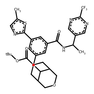 Cc1cnc(-c2cc(OC3C4COCC3CN(C(=O)OC(C)(C)C)C4)cc(C(=O)NC(C)c3cnc(C(F)(F)F)nc3)c2)s1